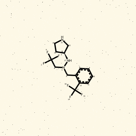 FC(F)(F)CN(Cc1ccccc1C(F)(F)F)N[C@H]1CCNC1